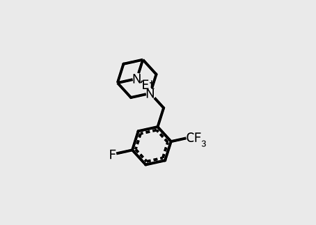 CCN1C2CC1CN(Cc1cc(F)ccc1C(F)(F)F)C2